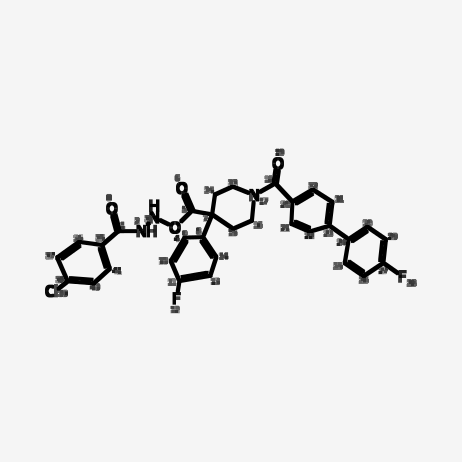 O=C(NNOC(=O)C1(c2ccc(F)cc2)CCN(C(=O)c2ccc(-c3ccc(F)cc3)cc2)CC1)c1ccc(Cl)cc1